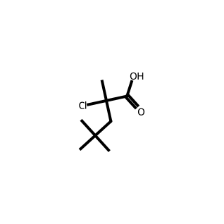 CC(C)(C)CC(C)(Cl)C(=O)O